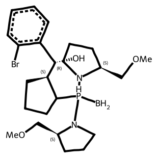 B[PH](C1CCC[C@H]1[C@@H](O)c1ccccc1Br)(N1CCC[C@H]1COC)N1CCC[C@H]1COC